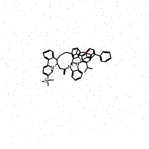 C=C1CC2C(CCc3ccc4c(oc5cc(-c6ccccc6)ccc54)c3-c3n(-c4c(C(C)C)cc(C)cc4C(C)C)c4ccccc4[n+]31)c1ccccc1-c1ccc([Si](C)(C)C)c[n+]12